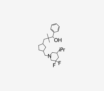 CC(C)C1CN(CC2CCC(CC(C)(C)C(O)c3ccccc3)C2)CC(F)(F)C1